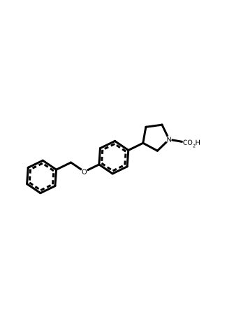 O=C(O)N1CCC(c2ccc(OCc3ccccc3)cc2)C1